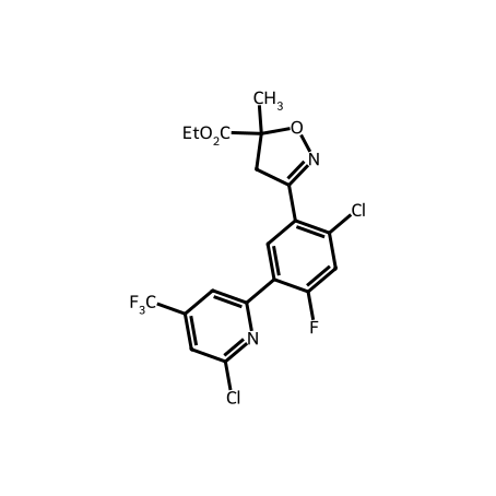 CCOC(=O)C1(C)CC(c2cc(-c3cc(C(F)(F)F)cc(Cl)n3)c(F)cc2Cl)=NO1